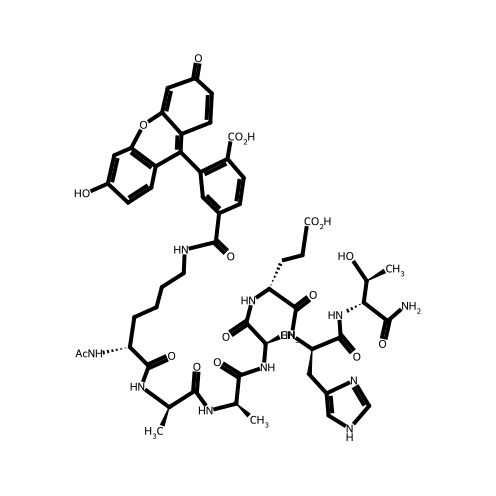 CC(=O)N[C@H](CCCCNC(=O)c1ccc(C(=O)O)c(-c2c3ccc(=O)cc-3oc3cc(O)ccc23)c1)C(=O)N[C@H](C)C(=O)N[C@H](C)C(=O)N[C@H](C)C(=O)N[C@H](CCC(=O)O)C(=O)N[C@H](Cc1c[nH]cn1)C(=O)N[C@@H](C(N)=O)[C@H](C)O